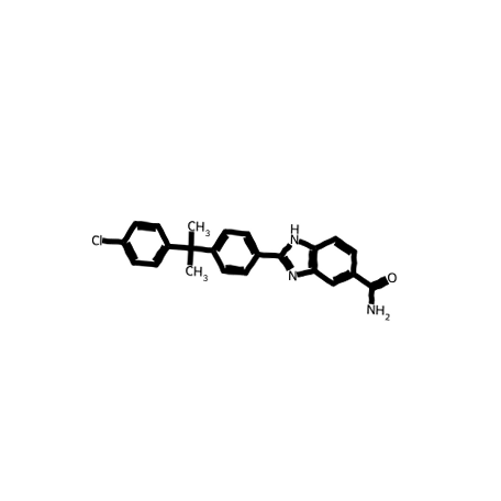 CC(C)(c1ccc(Cl)cc1)c1ccc(-c2nc3cc(C(N)=O)ccc3[nH]2)cc1